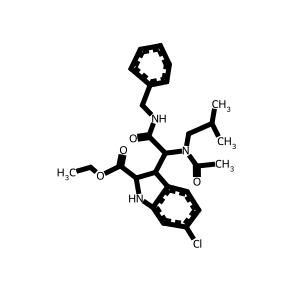 CCOC(=O)C1Nc2cc(Cl)ccc2C1C(C(=O)NCc1ccccc1)N(CC(C)C)C(C)=O